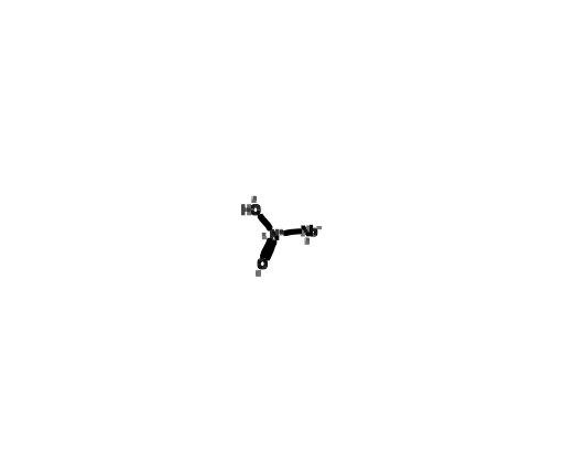 O=[N+](O)[Nb-]